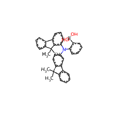 CC1(C)c2ccccc2-c2cc(N(c3ccccc3B(O)O)c3cccc4c3C(C)(C)c3ccccc3-4)ccc21